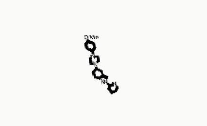 COc1ccc(N2CCN(C3CCc4nn(-c5ccccn5)cc4C3)CC2)cc1